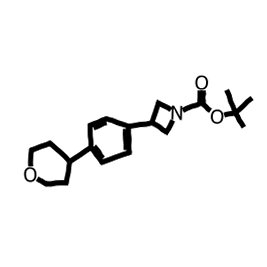 CC(C)(C)OC(=O)N1CC(c2ccc(C3CCOCC3)cc2)C1